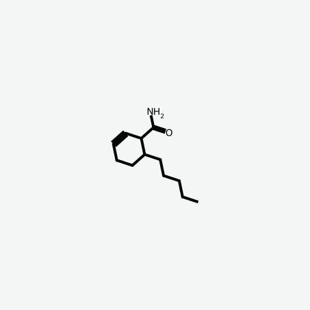 CCCCCC1CCC#CC1C(N)=O